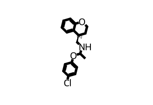 CC(NC[C@@H]1CCOc2ccccc21)Oc1ccc(Cl)cc1